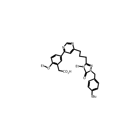 CCOc1ccc(-c2cc(CCCc3nn(Cc4ccc(C(C)(C)C)cc4)c(=O)n3CC)ncn2)cc1CC(=O)O